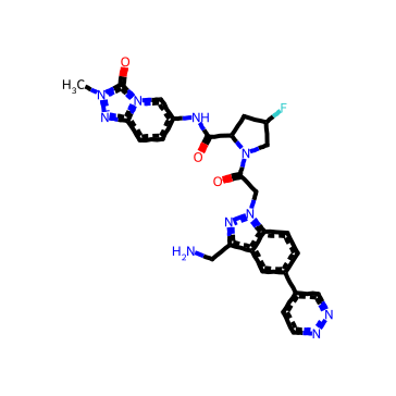 Cn1nc2ccc(NC(=O)C3CC(F)CN3C(=O)Cn3nc(CN)c4cc(-c5ccnnc5)ccc43)cn2c1=O